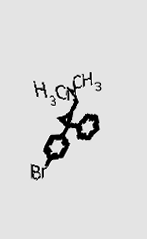 CN(C)CC1CC1(c1ccccc1)c1ccc(Br)cc1